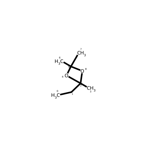 CCC1(C)OC(C)(C)O1